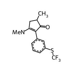 CNC1=C(c2cccc(SC(F)(F)F)c2)C(=O)C(C)C1